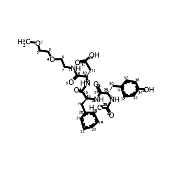 COCCOCCNC(=O)[C@H](CC(=O)O)NC(=O)[C@H](Cc1ccccc1)NC(=O)[C@H](Cc1ccc(O)cc1)NC(C)=O